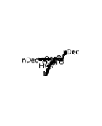 CCCCCCCCCCCCCC(=O)OCCN(CCOC(=O)CCCCCCCCCCCCC)C(=O)COC(O)CCCN(C)C